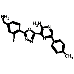 Cc1ccc(-c2cnc(N)c(-c3nnc(-c4ccc(CN)cc4F)o3)n2)cc1